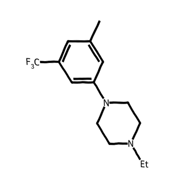 CCN1CCN(c2cc(C)cc(C(F)(F)F)c2)CC1